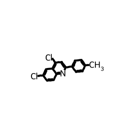 Cc1ccc(-c2cc(Cl)c3cc(Cl)ccc3n2)cc1